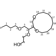 CCCCOCC(OCCO)C1COCCCCCCCCO1